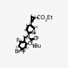 CCOC(=O)[C@H]1C[C@@H]1c1ccc(N(CC2=C(F)CC(F)(Br)C=C2)C(=O)OC(C)(C)C)nc1